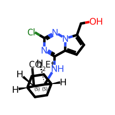 CCOC(=O)[C@H]1[C@H]2CC[C@H](CC2)[C@@H]1Nc1nc(Cl)nn2c(CO)ccc12